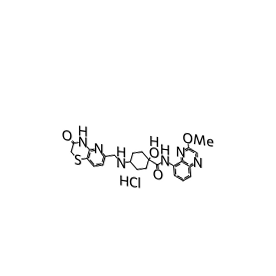 COc1cnc2cccc(NC(=O)C3(O)CCC(NCc4ccc5c(n4)NC(=O)CS5)CC3)c2n1.Cl